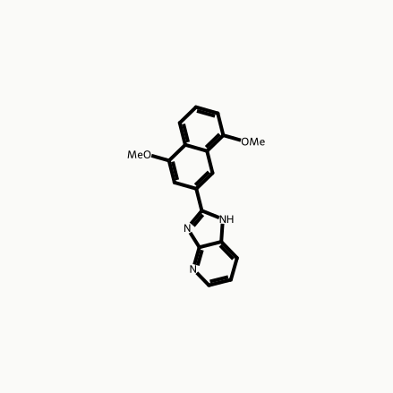 COc1cc(-c2nc3ncccc3[nH]2)cc2c(OC)cccc12